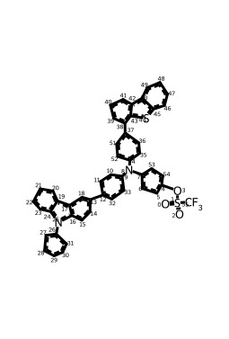 O=S(=O)(Oc1ccc(N(c2ccc(-c3ccc4c(c3)c3ccccc3n4-c3ccccc3)cc2)c2ccc(-c3cccc4c3sc3ccccc34)cc2)cc1)C(F)(F)F